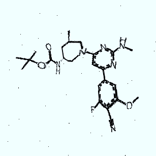 CNc1nc(-c2cc(F)c(C#N)c(OC)c2)cc(N2C[C@H](C)C[C@@H](NC(=O)OC(C)(C)C)C2)n1